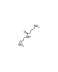 NCCCC(=O)NCCO[N+](=O)[O-]